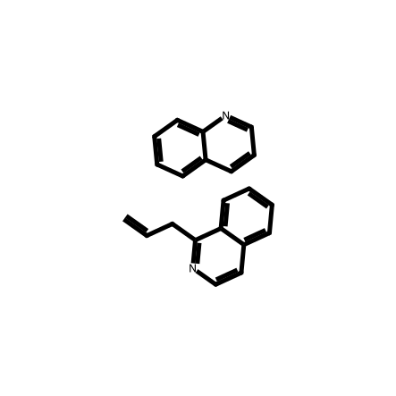 C=CCc1nccc2ccccc12.c1ccc2ncccc2c1